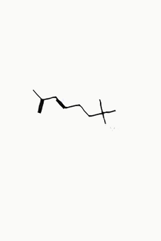 C=C(C)/C=C/CCC(C)(C)OC